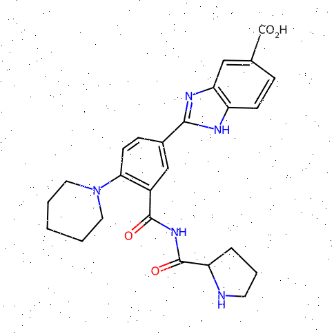 O=C(O)c1ccc2[nH]c(-c3ccc(N4CCCCC4)c(C(=O)NC(=O)C4CCCN4)c3)nc2c1